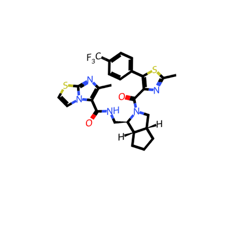 Cc1nc(C(=O)N2C[C@@H]3CCC[C@@H]3[C@H]2CNC(=O)c2c(C)nc3sccn23)c(-c2ccc(C(F)(F)F)cc2)s1